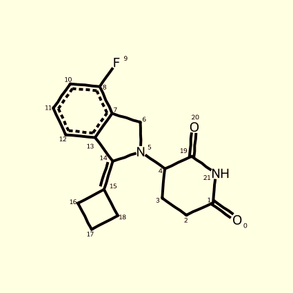 O=C1CCC(N2Cc3c(F)cccc3C2=C2CCC2)C(=O)N1